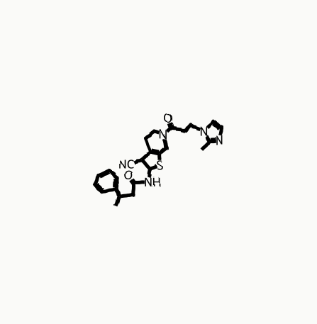 Cc1nccn1CCC(=O)N1CCC2=C(C1)SC(NC(=O)CC(C)c1ccccc1)C2C#N